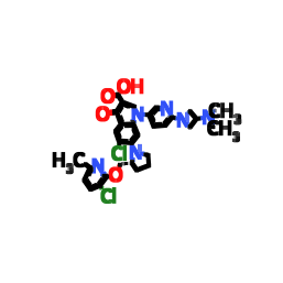 Cc1ccc(Cl)c(OC[C@H]2CCCN2c2cc3c(cc2Cl)c(=O)c(C(=O)O)cn3-c2ccc(N3CC(N(C)C)C3)nc2)n1